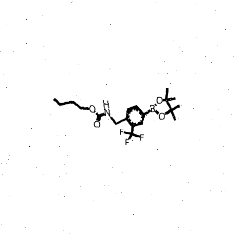 CCCCOC(=O)NCc1ccc(B2OC(C)(C)C(C)(C)O2)cc1C(F)(F)F